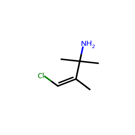 CC(=CCl)C(C)(C)N